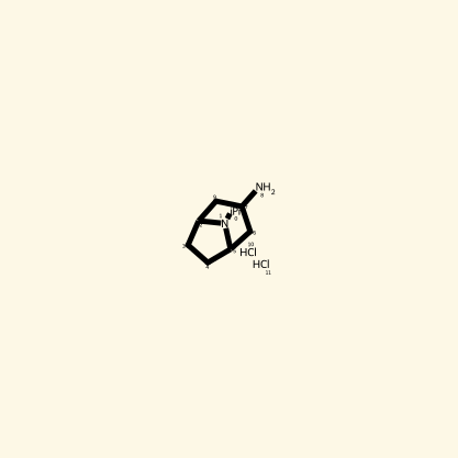 CC(C)N1C2CCC1CC(N)C2.Cl.Cl